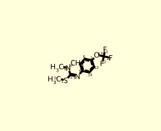 CS/C(=N/c1ccc(OC(F)(F)F)cc1)N(C)C